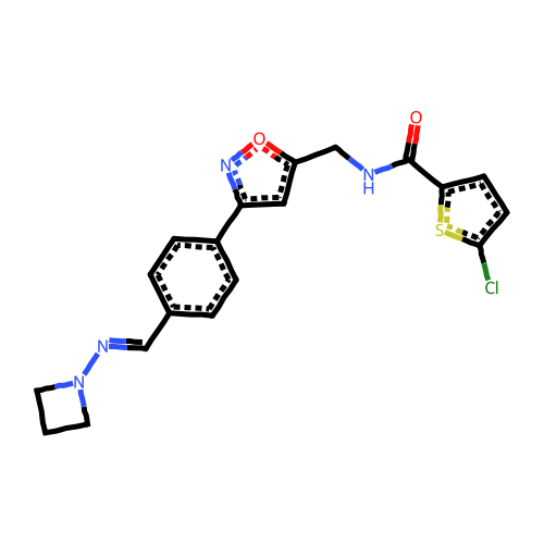 O=C(NCc1cc(-c2ccc(C=NN3CCC3)cc2)no1)c1ccc(Cl)s1